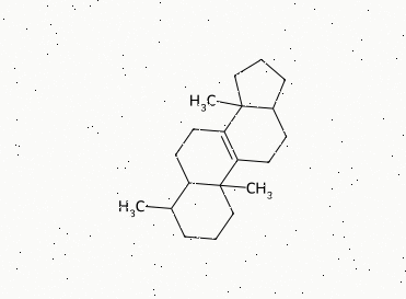 CC1CCCC2(C)C3=C(CCC12)C1(C)CCCC1CC3